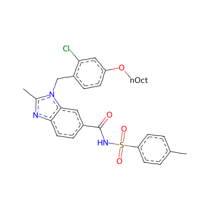 CCCCCCCCOc1ccc(Cn2c(C)nc3ccc(C(=O)NS(=O)(=O)c4ccc(C)cc4)cc32)c(Cl)c1